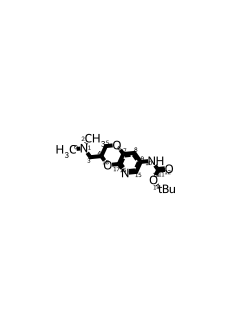 CN(C)CC1COc2cc(NC(=O)OC(C)(C)C)cnc2O1